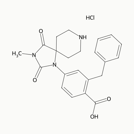 CN1C(=O)N(c2ccc(C(=O)O)c(Cc3ccccc3)c2)C2(CCNCC2)C1=O.Cl